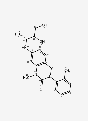 Cc1ccccc1N1Cc2cnc(N[C@H](C)C(O)CO)nc2N(C)C1=O